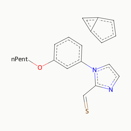 CCCCCOc1cccc(-n2ccnc2C=S)c1.c1cc2cc-2c1